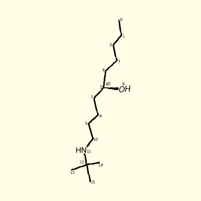 CCCCC[C@@H](O)CCCCNC(C)(C)C